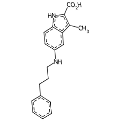 Cc1c(C(=O)O)[nH]c2ccc(NCCCc3ccccc3)cc12